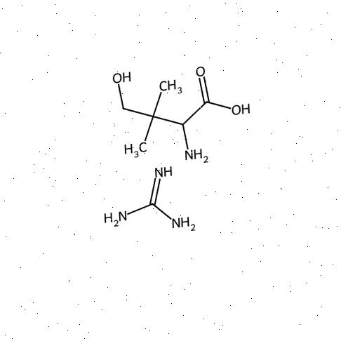 CC(C)(CO)C(N)C(=O)O.N=C(N)N